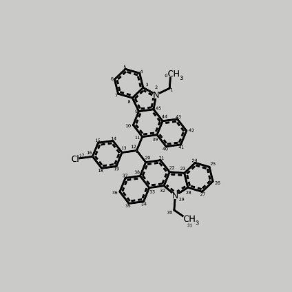 CCn1c2ccccc2c2cc([C](c3ccc(Cl)cc3)c3cc4c5ccccc5n(CC)c4c4ccccc34)c3ccccc3c21